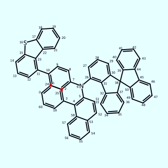 c1ccc(-c2c(N(c3ccc(-c4cccc5sc6ccccc6c45)cc3)c3cccc4c3-c3ccccc3C43c4ccccc4-c4ccccc43)ccc3ccccc23)cc1